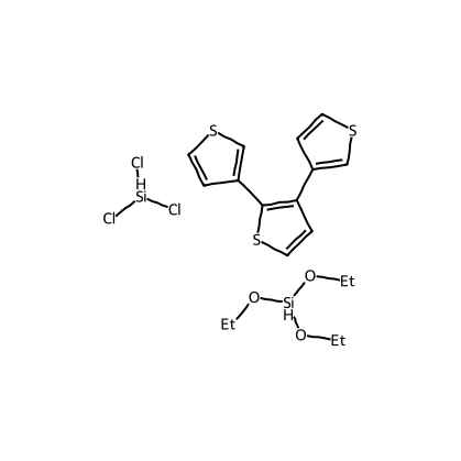 CCO[SiH](OCC)OCC.Cl[SiH](Cl)Cl.c1cc(-c2ccsc2-c2ccsc2)cs1